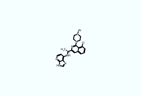 CC(C)N1CCN(c2nc([C@H](C)Nc3ccnc4[nH]cnc34)cc3cccc(Cl)c23)CC1